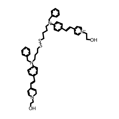 OCCN1C=CC(/C=C/c2ccc(N(CCCCSSCCCCN(Cc3ccccc3)c3ccc(/C=C/c4cc[n+](CCO)cc4)cc3)Cc3ccccc3)cc2)=CC1